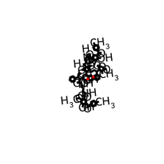 CCC(c1ccccc1)C(C(=O)NCCCNS(=O)(=O)c1cc(C(=O)c2ccc(C)cc2)c(O)cc1OC)C(CC(c1ccccc1)C1C(=O)N(CCCNS(=O)(=O)c2cc(C(=O)c3ccc(C)cc3)c(O)cc2OC)C(=O)C1CCC(c1ccccc1)C1C(=O)OC(=O)C1C)C(=O)O